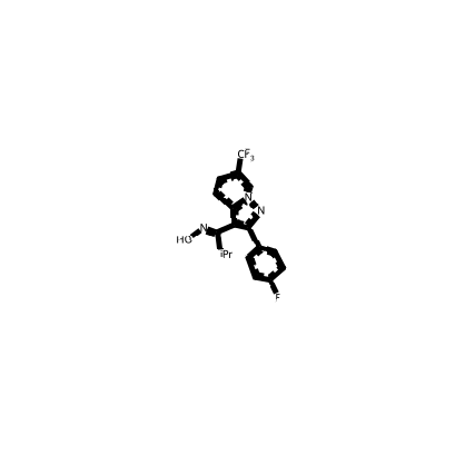 CC(C)C(=NO)c1c(-c2ccc(F)cc2)nn2cc(C(F)(F)F)ccc12